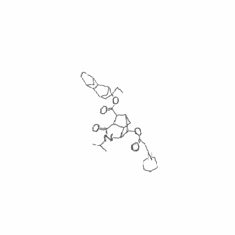 CCC1(OC(=O)C2C3CC4C2C(=O)N(C(C)C)C4C3OC(=O)CN2CCCCC2)CC2CC1C1C3CCC(C3)C21